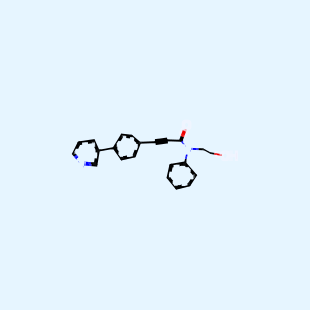 O=C(C#Cc1ccc(-c2cccnc2)cc1)N(CCO)c1ccccc1